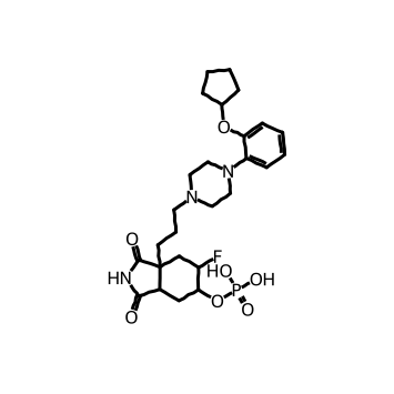 O=C1NC(=O)C2(CCCN3CCN(c4ccccc4OC4CCCC4)CC3)CC(F)C(OP(=O)(O)O)CC12